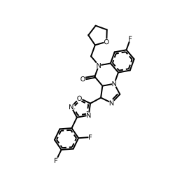 O=C1C2C(c3nc(-c4ccc(F)cc4F)no3)N=CN2c2ccc(F)cc2N1CC1CCCO1